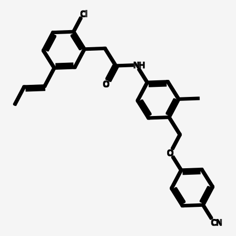 C/C=C/c1ccc(Cl)c(CC(=O)Nc2ccc(COc3ccc(C#N)cc3)c(C)c2)c1